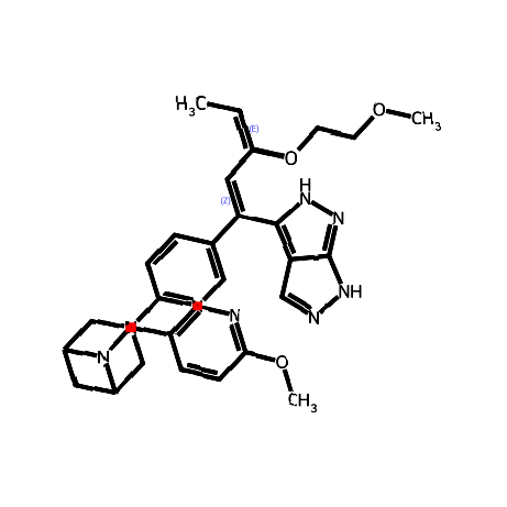 C/C=C(\C=C(\c1ccc(N2CC3CC(C2)N3Cc2ccc(OC)nc2)nc1)c1[nH]nc2[nH]ncc12)OCCOC